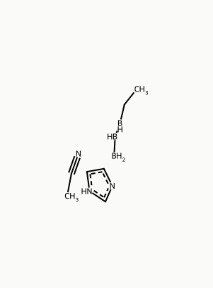 BBBCC.CC#N.c1c[nH]cn1